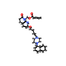 CCCCCCCC(=O)OCN1C(=O)CCc2ccc(OCCCCN3CCN(c4cccc5ccccc45)CC3)nc21